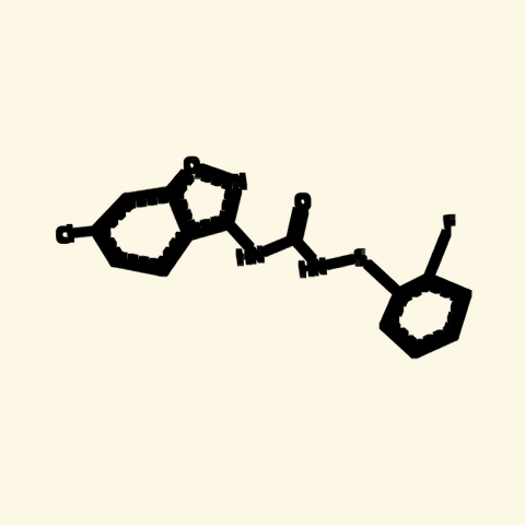 O=C(NSc1ccccc1F)Nc1noc2cc(Cl)ccc12